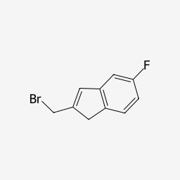 Fc1ccc2c(c1)C=C(CBr)C2